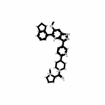 COc1cc2[nH]nc(-c3ccc(C4CCN(C(=O)C5CCCN5C)CC4)nc3)c2nc1-c1cccc2c1CCC2